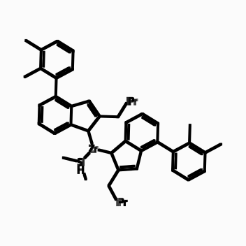 Cc1cccc(-c2cccc3c2C=C(CC(C)C)[CH]3[Zr]([CH]2C(CC(C)C)=Cc3c(-c4cccc(C)c4C)cccc32)[SiH](C)C)c1C